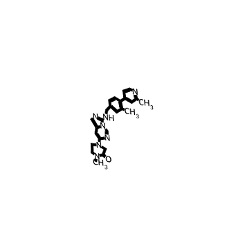 Cc1cc(-c2ccc(CNc3ncc4cc(N5CCN(C)C(=O)C5)ncn34)cc2C)ccn1